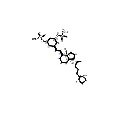 CC(CCCC1OCCO1)[C@H]1CC[C@H]2/C(=C/C=C3C[C@@H](O[Si](C)(C)C(C)(C)C)C[C@H](O[Si](C)(C)C(C)(C)C)C3)CCC[C@]12C